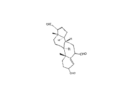 C[C@]12CCC(C=O)C=C1C(C=O)C[C@@H]1[C@@H]2CC[C@]2(C)C(C=O)CC[C@@H]12